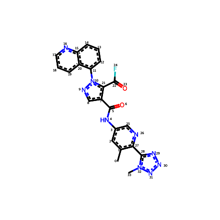 Cc1cc(NC(=O)c2cnn(-c3cccc4ncccc34)c2C(=O)F)cnc1-c1nnnn1C